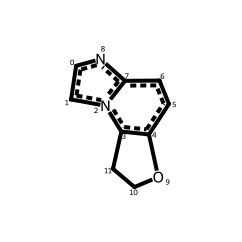 c1cn2c3c(ccc2n1)OCC3